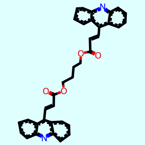 O=C(C=Cc1c2ccccc2nc2ccccc12)OCCCCOC(=O)C=Cc1c2ccccc2nc2ccccc12